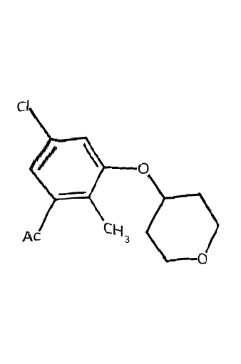 CC(=O)c1cc(Cl)cc(OC2CCOCC2)c1C